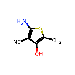 Cc1sc(N)c(C#N)c1O